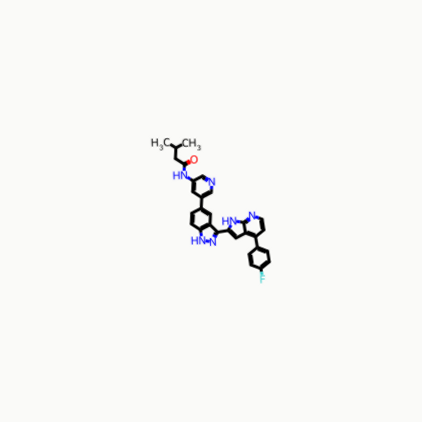 CC(C)CC(=O)Nc1cncc(-c2ccc3[nH]nc(-c4cc5c(-c6ccc(F)cc6)ccnc5[nH]4)c3c2)c1